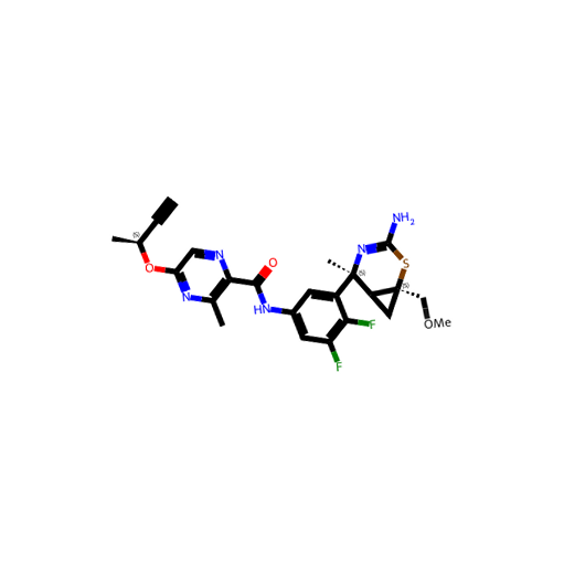 C#C[C@H](C)Oc1cnc(C(=O)Nc2cc(F)c(F)c([C@@]3(C)N=C(N)S[C@@]4(COC)CC43)c2)c(C)n1